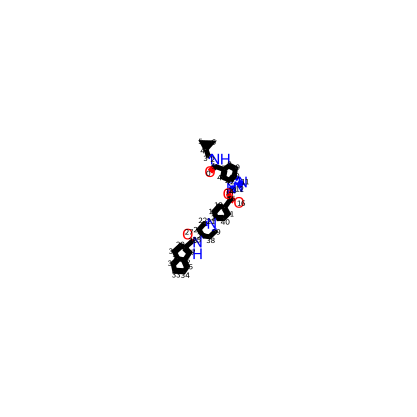 O=C(NCC1CC1)c1ccc2nnn(OC(=O)c3ccc(N4CCC(NC(=O)c5ccc6ccccc6c5)CC4)cc3)c2c1